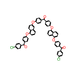 O=C(c1ccc(Cl)cc1)c1ccc(Oc2cccc3cc(Oc4ccc(C(=O)c5ccc(Oc6cccc7c(Oc8ccc(C(=O)c9ccc(Cl)cc9)cc8)cccc67)cc5)cc4)ccc23)cc1